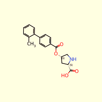 Cc1ccccc1-c1ccc(C(=O)O[C@@H]2CN[C@H](C(=O)O)C2)cc1